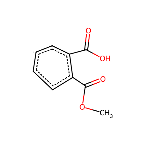 COC(=O)c1cc[c]cc1C(=O)O